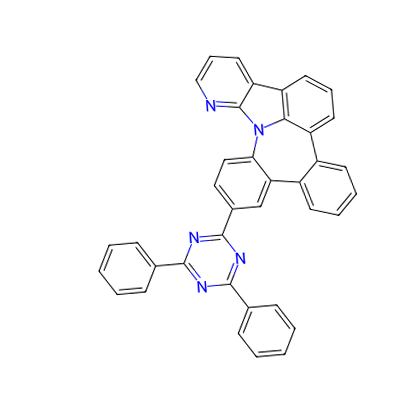 c1ccc(-c2nc(-c3ccccc3)nc(-c3ccc4c(c3)-c3ccccc3-c3cccc5c6cccnc6n-4c35)n2)cc1